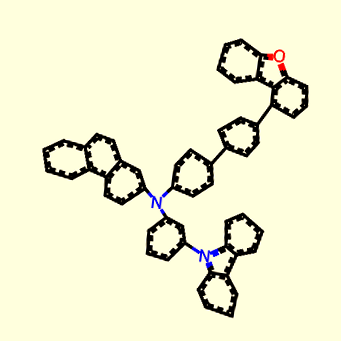 c1cc(N(c2ccc(-c3ccc(-c4cccc5oc6ccccc6c45)cc3)cc2)c2ccc3c(ccc4ccccc43)c2)cc(-n2c3ccccc3c3ccccc32)c1